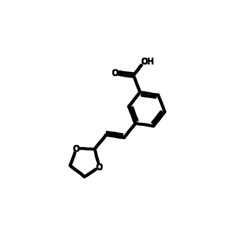 O=C(O)c1cccc(C=CC2OCCO2)c1